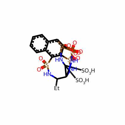 CCC1NS(=O)(=O)c2c3c4c(c5ccccc25)S(=O)(=O)NC(S(=O)(=O)O)(S(=O)(=O)O)C1(NS3(=O)=O)NS4(=O)=O